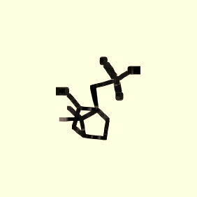 CC1(C)C2CC[C@@]1(CS(=O)(=O)O)C(O)C2